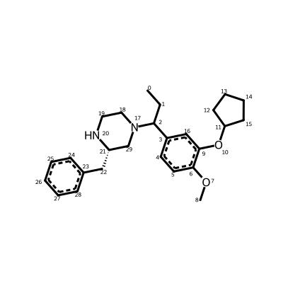 CCC(c1ccc(OC)c(OC2CCCC2)c1)N1CCN[C@@H](Cc2ccccc2)C1